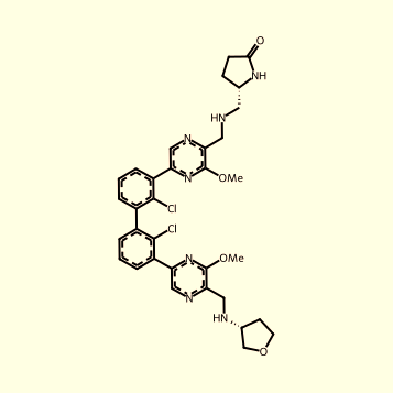 COc1nc(-c2cccc(-c3cccc(-c4cnc(CN[C@@H]5CCOC5)c(OC)n4)c3Cl)c2Cl)cnc1CNC[C@@H]1CCC(=O)N1